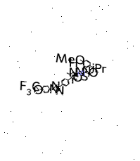 COc1ccc(C(C)C)c(N2C(=O)CS/C2=N\C(=O)NC(C)C(F)c2ccc(-c3ncn(-c4ccc(OC(F)(F)F)cc4)n3)cc2)c1